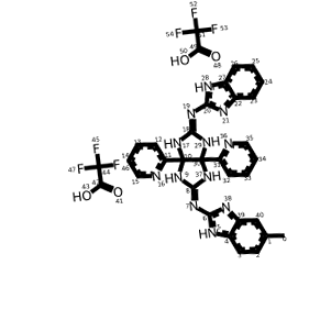 Cc1ccc2[nH]c(N=C3NC4(c5ccccn5)NC(=Nc5nc6ccccc6[nH]5)NC4(c4ccccn4)N3)nc2c1.O=C(O)C(F)(F)F.O=C(O)C(F)(F)F